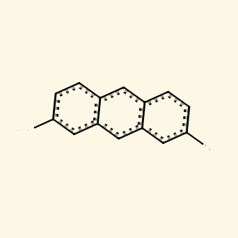 Cc1ccc2cc3ccc(N)cc3cc2c1